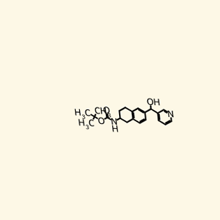 CC(C)(C)OC(=O)NC1CCc2cc(C(O)c3cccnc3)ccc2C1